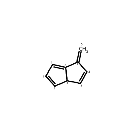 C=C1C=CC2C=CC=C12